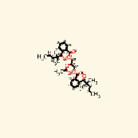 CCCC(C)(C)C(=O)c1ccccc1C(=O)OCC(COC(=O)c1ccccc1C(=O)C(C)(C)CCC)OC(C)=O